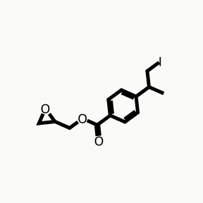 CC(CI)c1ccc(C(=O)OCC2CO2)cc1